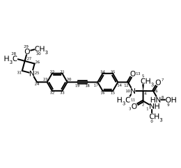 CNC(=O)[C@@](C)(C(=O)NO)N(C)C(=O)c1ccc(C#Cc2ccc(CN3CC(C)(OC)C3)cc2)cc1